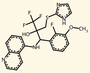 COc1cccc(C(Nc2cccc3ncccc23)C(O)(CSc2ncc[nH]2)C(F)(F)F)c1F